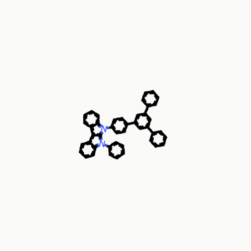 c1ccc(-c2cc(-c3ccccc3)cc(-c3ccc(-n4c5ccccc5c5c6ccccc6n(-c6ccccc6)c54)cc3)c2)cc1